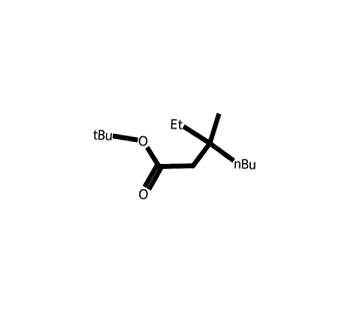 CCCCC(C)(CC)CC(=O)OC(C)(C)C